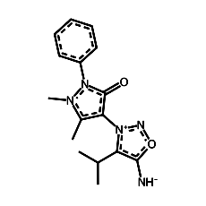 Cc1c(-[n+]2noc([NH-])c2C(C)C)c(=O)n(-c2ccccc2)n1C